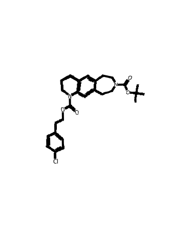 CC(C)(C)OC(=O)N1CCc2cc3c(cc2CC1)N(C(=O)OCCc1ccc(Cl)cc1)CCC3